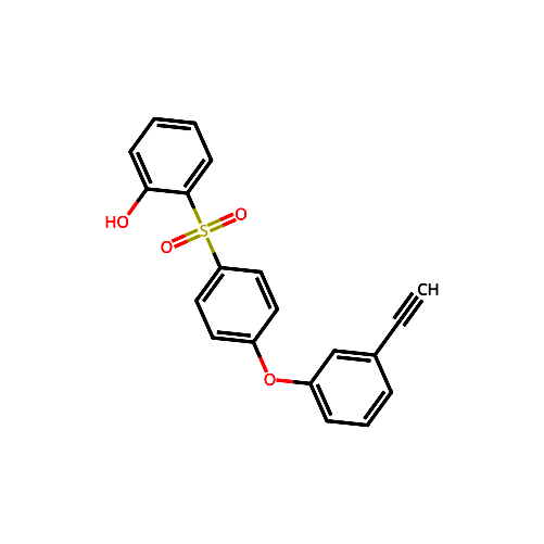 C#Cc1cccc(Oc2ccc(S(=O)(=O)c3ccccc3O)cc2)c1